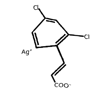 O=C([O-])/C=C/c1ccc(Cl)cc1Cl.[Ag+]